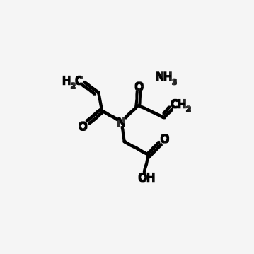 C=CC(=O)N(CC(=O)O)C(=O)C=C.N